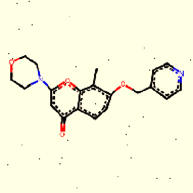 Cc1c(OCc2ccncc2)ccc2c(=O)cc(N3CCOCC3)oc12